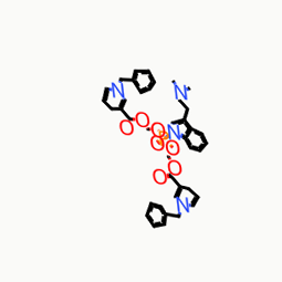 CN(C)CCc1cn(P(=O)(OCOC(=O)C2=CN(Cc3ccccc3)C=CC2)OCOC(=O)C2=CN(Cc3ccccc3)C=CC2)c2ccccc12